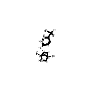 FC(F)(F)c1ccc(O[C@@H]2C[C@@H]3CN[C@H]2C3)nn1